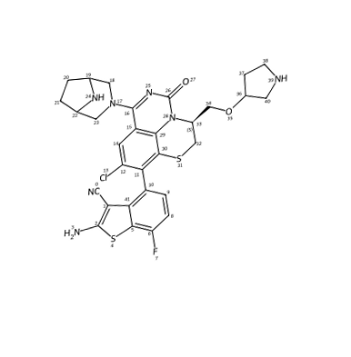 N#Cc1c(N)sc2c(F)ccc(-c3c(Cl)cc4c(N5CC6CCC(C5)N6)nc(=O)n5c4c3SC[C@@H]5COC3CCNC3)c12